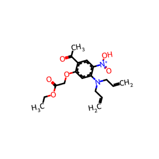 C=CCN(CC=C)c1cc(OCC(=O)OCC)c(C(C)=O)cc1[N+](=O)O